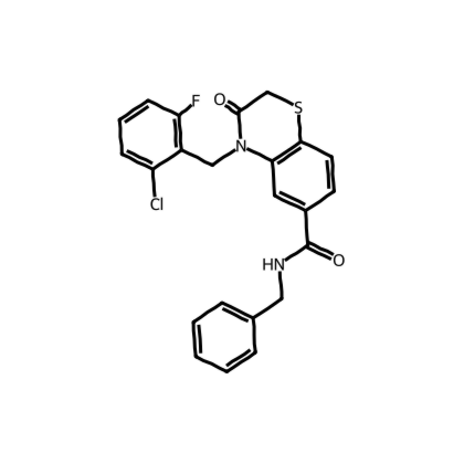 O=C(NCc1ccccc1)c1ccc2c(c1)N(Cc1c(F)cccc1Cl)C(=O)CS2